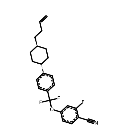 C=CCC[C@H]1CC[C@H](c2ccc(C(F)(F)Oc3ccc(C#N)c(F)c3)cc2)CC1